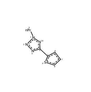 [CH2]CCn1nnc(-c2cccs2)n1